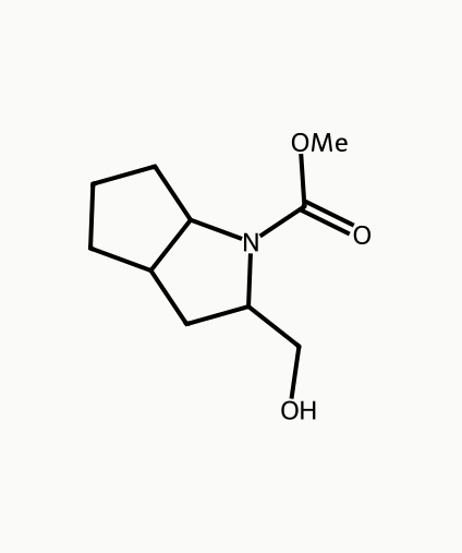 COC(=O)N1C(CO)CC2CCCC21